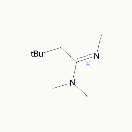 C/N=C(\CC(C)(C)C)N(C)C